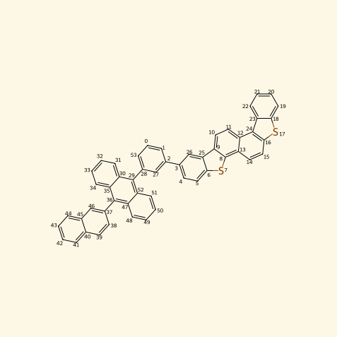 c1cc(-c2ccc3sc4c(ccc5c4ccc4sc6ccccc6c45)c3c2)cc(-c2c3ccccc3c(-c3ccc4ccccc4c3)c3ccccc23)c1